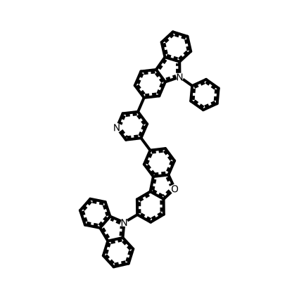 c1ccc(-n2c3ccccc3c3ccc(-c4cncc(-c5ccc6oc7ccc(-n8c9ccccc9c9ccccc98)cc7c6c5)c4)cc32)cc1